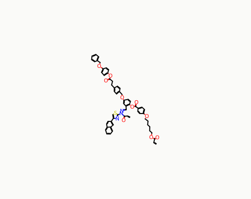 C=CC(=O)OCCCCCCOc1ccc(C(=O)Oc2ccc(OCc3ccc(CCC(=O)Oc4ccc(OCc5ccccc5)cc4)cc3)cc2/C=N/N(C(=O)C=C)c2nc(-c3ccc4ccccc4c3)cs2)cc1